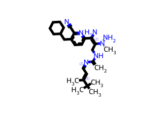 C=C(/N=C\C=C(/C)C(C)(C)C)NC/C(=C(/N)c1ccc(CC2CCCCC2)c(C#N)n1)N(C)N